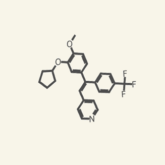 COc1ccc(C(=Cc2ccncc2)c2ccc(C(F)(F)F)cc2)cc1OC1CCCC1